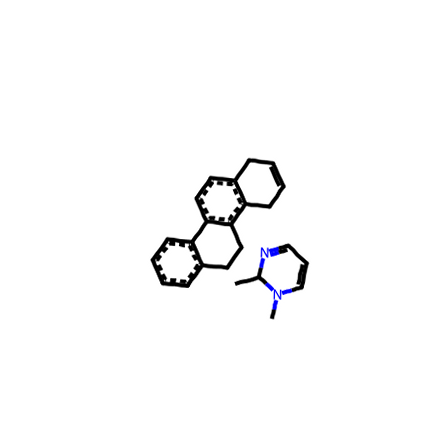 C1=CCc2c(ccc3c2CCc2ccccc2-3)C1.CC1N=CC=CN1C